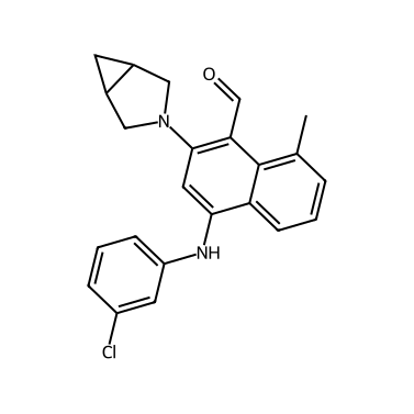 Cc1cccc2c(Nc3cccc(Cl)c3)cc(N3CC4CC4C3)c(C=O)c12